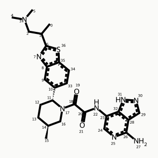 CC(CN(C)C)c1nc2cc([C@H]3CC[C@H](C)CN3C(=O)C(=O)Nc3cnc(N)c4cn[nH]c34)ccc2s1